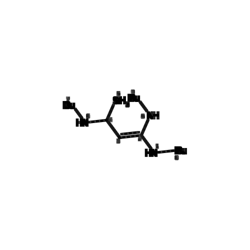 CCC(C)NC(=CC([SiH3])NC(C)CC)NC(C)CC